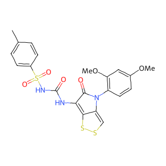 COc1ccc(-n2c3cssc-3c(NC(=O)NS(=O)(=O)c3ccc(C)cc3)c2=O)c(OC)c1